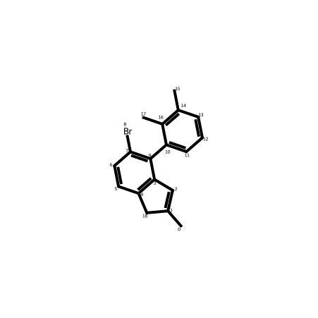 CC1=Cc2c(ccc(Br)c2-c2cccc(C)c2C)C1